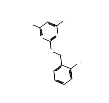 N#Cc1ccccc1CSc1nc(N)cc(O)n1